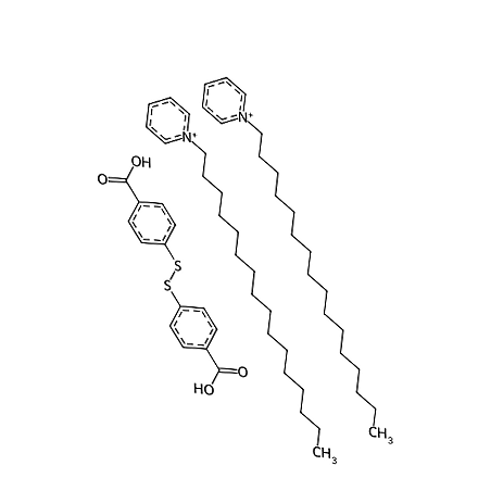 CCCCCCCCCCCCCCCC[n+]1ccccc1.CCCCCCCCCCCCCCCC[n+]1ccccc1.O=C(O)c1ccc(SSc2ccc(C(=O)O)cc2)cc1